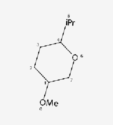 COC1CCC(C(C)C)OC1